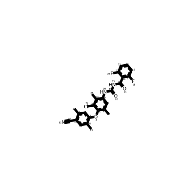 Cc1cc(Oc2c(C)cc(NC(=O)NC(=O)c3c(F)cccc3F)c(C)c2Cl)c(C)cc1C#N